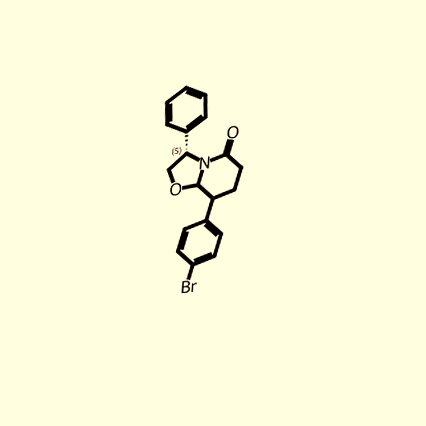 O=C1CCC(c2ccc(Br)cc2)C2OC[C@H](c3ccccc3)N12